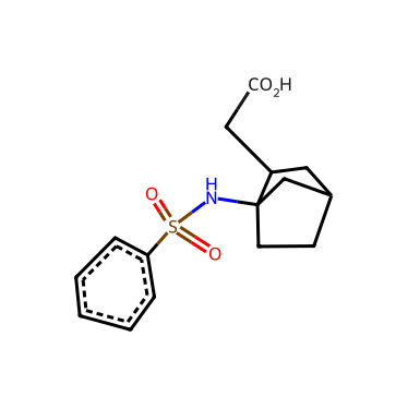 O=C(O)CC1CC2CCC1(NS(=O)(=O)c1ccccc1)C2